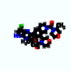 CC1COCCN1C(=O)N1CCc2cc(-c3cnc4[nH]cc(Cl)c4n3)cc(C3COCCN3C(=O)OC(C)(C)C)c2C1